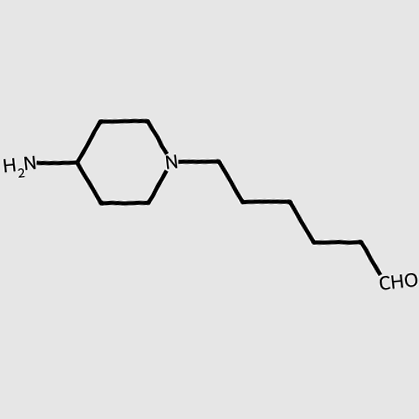 NC1CCN(CCCCCC=O)CC1